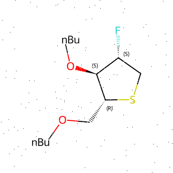 CCCCOC[C@H]1SC[C@@H](F)[C@@H]1OCCCC